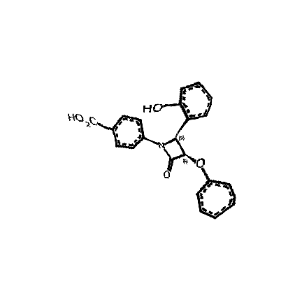 O=C(O)c1ccc(N2C(=O)[C@H](Oc3ccccc3)[C@@H]2c2ccccc2O)cc1